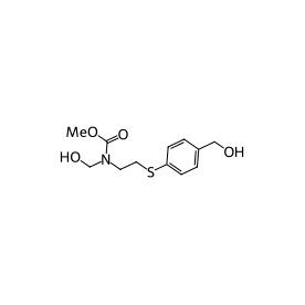 COC(=O)N(CO)CCSc1ccc(CO)cc1